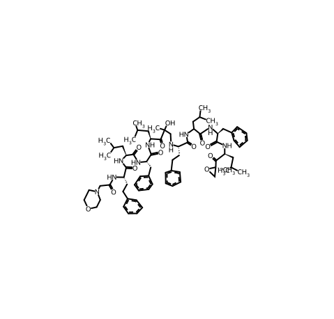 CC(C)CC(NC(=O)[C@H](CCc1ccccc1)NCC(C)(O)C(=O)[C@H](CC(C)C)NC(=O)[C@H](Cc1ccccc1)NC(=O)[C@H](CC(C)C)NC(=O)[C@H](CCc1ccccc1)NC(=O)CN1CCOCC1)C(=O)N[C@@H](Cc1ccccc1)C(=O)N[C@@H](CC(C)C)C(=O)[C@@]1(C)CO1